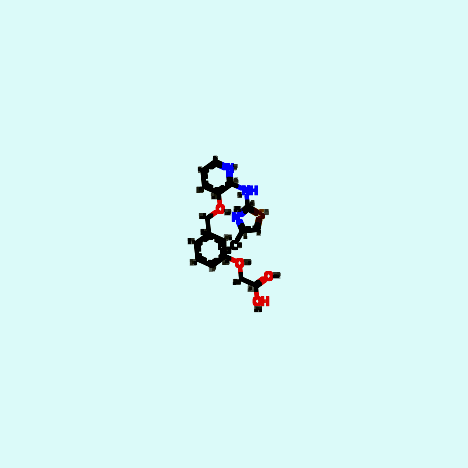 Cc1csc(Nc2ncccc2OCc2cccc(OCC(=O)O)c2)n1